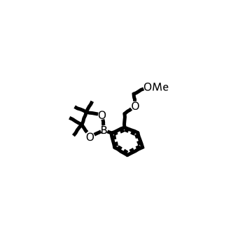 COCOCc1ccccc1B1OC(C)(C)C(C)(C)O1